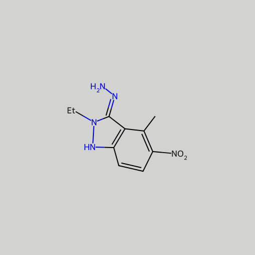 CCn1[nH]c2ccc([N+](=O)[O-])c(C)c2c1=NN